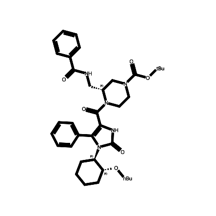 CCCCO[C@@H]1CCCC[C@H]1n1c(-c2ccccc2)c(C(=O)N2CCN(C(=O)OC(C)(C)C)C[C@H]2CNC(=O)c2ccccc2)[nH]c1=O